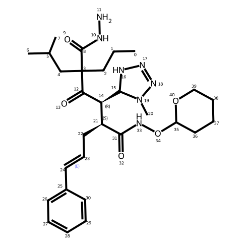 CCCC(CC(C)C)(C(=O)NN)C(=O)[C@@H](C1NN=NN1C)[C@H](C/C=C/c1ccccc1)C(=O)NOC1CCCCO1